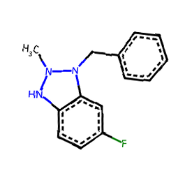 CN1Nc2ccc(F)cc2N1Cc1ccccc1